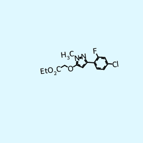 CCOC(=O)COc1cc(-c2ccc(Cl)cc2F)nn1C